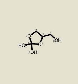 OCC1COC(O)(O)O1